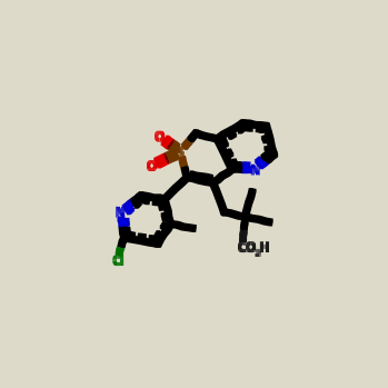 Cc1cc(Cl)ncc1C1=C(CC(C)(C)C(=O)O)c2ncccc2CS1(=O)=O